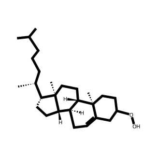 CC(C)CCC[C@@H](C)[C@H]1CC[C@H]2[C@@H]3CC=C4CC(OO)CC[C@]4(C)[C@H]3CC[C@]12C